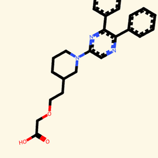 O=C(O)COCCC1CCCN(c2cnc(-c3ccccc3)c(-c3ccccc3)n2)C1